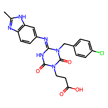 Cc1nc2ccc(/N=c3\[nH]c(=O)n(CCC(=O)O)c(=O)n3Cc3ccc(Cl)cc3)cc2[nH]1